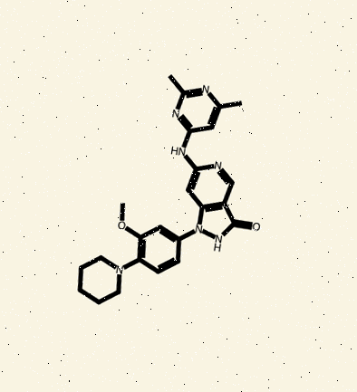 COc1cc(-n2[nH]c(=O)c3cnc(Nc4cc(C)nc(C)n4)cc32)ccc1N1CCCCC1